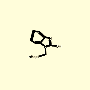 CCCCCCCCn1c(O)nc2ccccc21